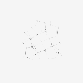 O=[N+]([O-])C([N+](=O)[O-])([N+](=O)[O-])[C]1([Al-]([C]2(C([N+](=O)[O-])([N+](=O)[O-])[N+](=O)[O-])N=NNN2)([C]2(C([N+](=O)[O-])([N+](=O)[O-])[N+](=O)[O-])N=NNN2)[C]2(C([N+](=O)[O-])([N+](=O)[O-])[N+](=O)[O-])N=NNN2)N=NNN1